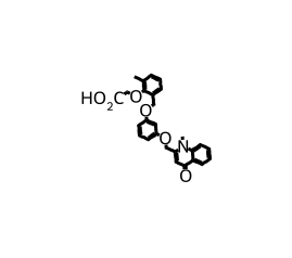 Cc1cccc(COc2cccc(OCc3cc(=O)c4ccccc4n3C)c2)c1OCC(=O)O